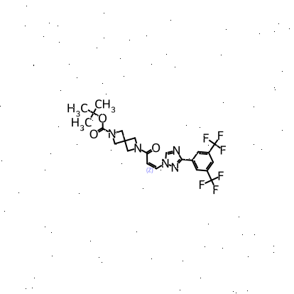 CC(C)(C)OC(=O)N1CC2(CN(C(=O)/C=C\n3cnc(-c4cc(C(F)(F)F)cc(C(F)(F)F)c4)n3)C2)C1